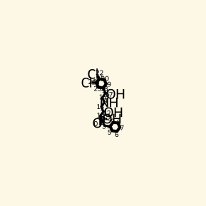 O=P(O)(Cc1ccccc1)C[C@@H](O)CNCC(O)c1ccc(Cl)c(Cl)c1